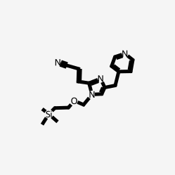 C[Si](C)(C)CCOCn1cc(Cc2ccncc2)nc1C=CC#N